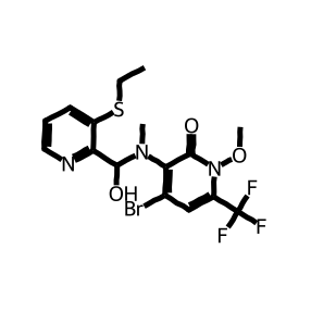 CCSc1cccnc1C(O)N(C)c1c(Br)cc(C(F)(F)F)n(OC)c1=O